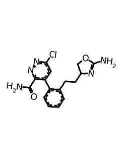 NC(=O)c1nnc(Cl)cc1-c1ccccc1CCC1COC(N)=N1